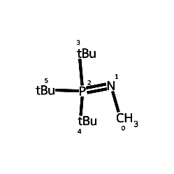 CN=P(C(C)(C)C)(C(C)(C)C)C(C)(C)C